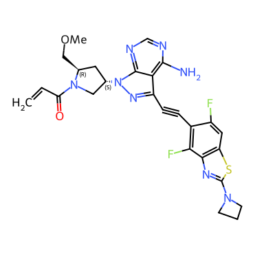 C=CC(=O)N1C[C@@H](n2nc(C#Cc3c(F)cc4sc(N5CCC5)nc4c3F)c3c(N)ncnc32)C[C@@H]1COC